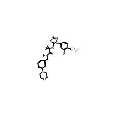 O=C(O)c1ccc(-n2nnnc2SC2(C(=O)NCc3cccc(N4CCOCC4)c3)CC2)cc1F